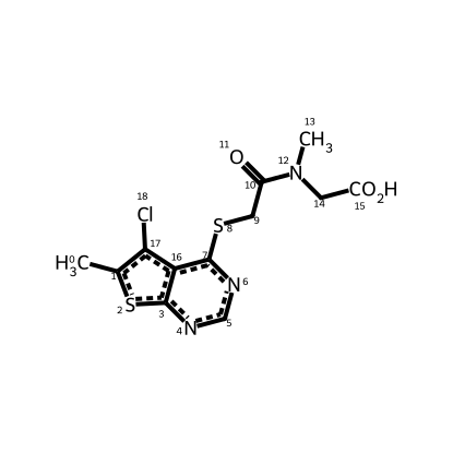 Cc1sc2ncnc(SCC(=O)N(C)CC(=O)O)c2c1Cl